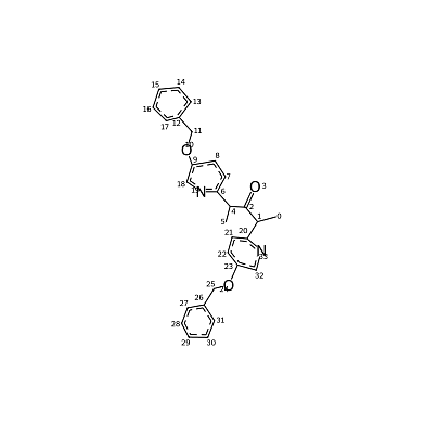 CC(C(=O)C(C)c1ccc(OCc2ccccc2)cn1)c1ccc(OCc2ccccc2)cn1